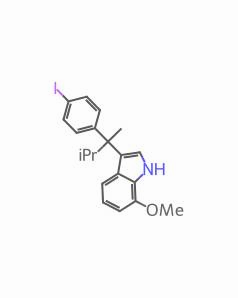 COc1cccc2c(C(C)(c3ccc(I)cc3)C(C)C)c[nH]c12